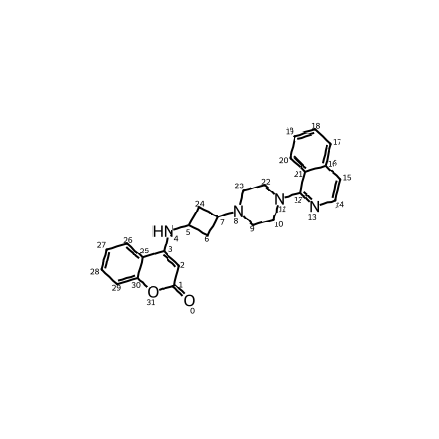 O=c1cc(NC2CC(N3CCN(c4nccc5ccccc45)CC3)C2)c2ccccc2o1